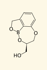 OC[C@@H]1COc2cccc3c2B(OC3)O1